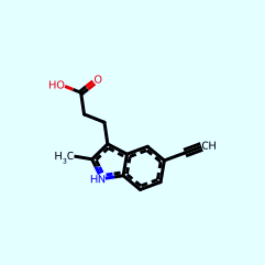 C#Cc1ccc2[nH]c(C)c(CCC(=O)O)c2c1